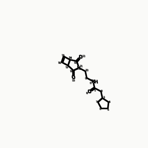 O=C(CC1CCCC1)NCCN1C(=O)C2C=CC2C1=O